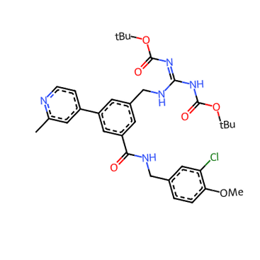 COc1ccc(CNC(=O)c2cc(CN/C(=N\C(=O)OC(C)(C)C)NC(=O)OC(C)(C)C)cc(-c3ccnc(C)c3)c2)cc1Cl